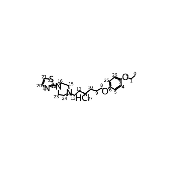 CCOc1ccc(OCCCCCCN2CCN(c3nccs3)CC2)cc1.Cl